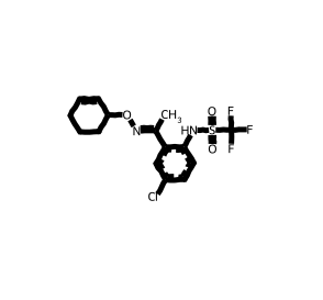 C/C(=N\OC1C=CCCC1)c1cc(Cl)ccc1NS(=O)(=O)C(F)(F)F